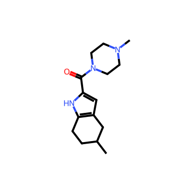 CC1CCc2[nH]c(C(=O)N3CCN(C)CC3)cc2C1